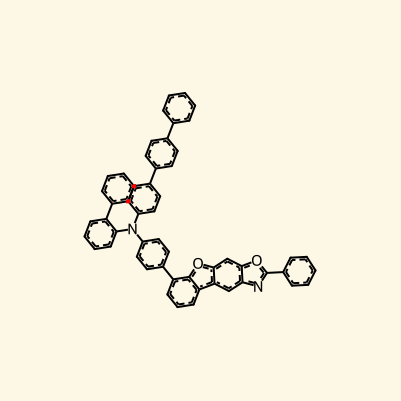 c1ccc(-c2ccc(-c3ccc(N(c4ccc(-c5cccc6c5oc5cc7oc(-c8ccccc8)nc7cc56)cc4)c4ccccc4-c4ccccc4)cc3)cc2)cc1